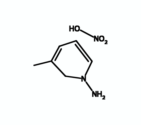 CC1=CC=CN(N)C1.O=[N+]([O-])O